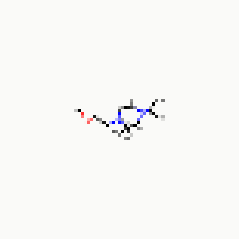 COCCN1CCN(C(C)C)CC1(C)C